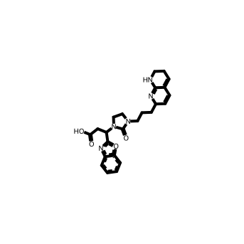 O=C(O)CC(c1nc2ccccc2o1)N1CCN(CCCC2C=CC3=CCCNC3=N2)C1=O